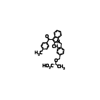 Cc1ccc(C(=O)c2c(C)n(Cc3ccc(CO[C@H](C)C(=O)O)cc3)c3ccccc23)cc1